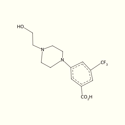 O=C(O)c1cc(N2CCN(CCO)CC2)cc(C(F)(F)F)c1